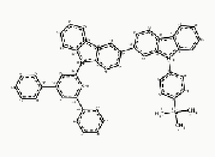 C[Si](C)(C)c1ccc(-n2c3ccccc3c3ccc(-c4ccc5c(c4)c4ccccc4n5-c4cc(-c5ccccc5)cc(-c5ccccc5)n4)cc32)cc1